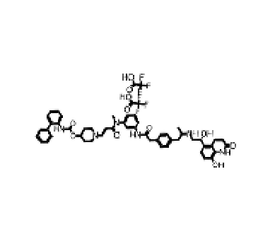 CC(Cc1ccc(CC(=O)Nc2cccc(N(C)C(=O)CCN3CCC(OC(=O)Nc4ccccc4-c4ccccc4)CC3)c2)cc1)NC[C@H](O)c1ccc(O)c2[nH]c(=O)ccc12.O=C(O)C(F)(F)F.O=C(O)C(F)(F)F